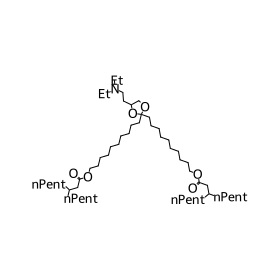 CCCCCC(CCCCC)CC(=O)OCCCCCCCCCCC1(CCCCCCCCCCOC(=O)CC(CCCCC)CCCCC)OCC(CCN(CC)CC)O1